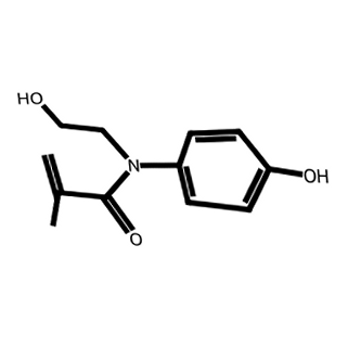 C=C(C)C(=O)N(CCO)c1ccc(O)cc1